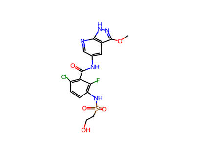 COc1n[nH]c2ncc(NC(=O)c3c(Cl)ccc(NS(=O)(=O)CCO)c3F)cc12